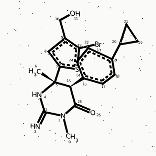 CN1C(=N)N[C@](C)(c2cc(CO)c(Br)s2)[C@@H](c2ccc(C3CC3)cc2)C1=O